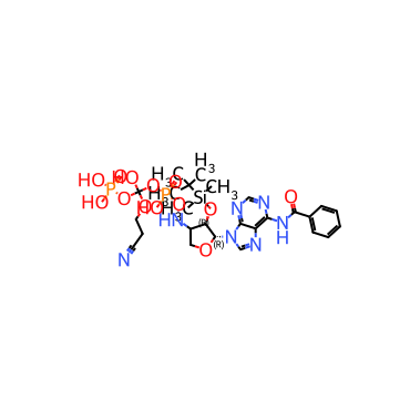 CC(C)(C)[Si](C)(C)O[C@@H]1C(NOP(=O)(O)OC(O)(OCCC#N)OP(=O)(O)O)CO[C@H]1n1cnc2c(NC(=O)c3ccccc3)ncnc21